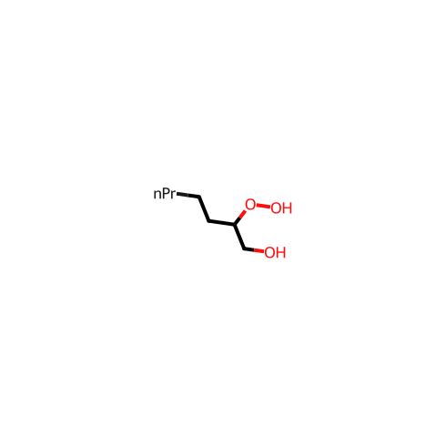 CCCCCC(CO)OO